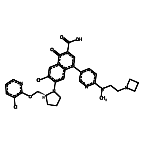 CN(CCN1CCC1)c1ccc(-n2cc(C(=O)O)c(=O)c3cc(Cl)c(N4CCC[C@@H]4COc4ncccc4Cl)cc32)cn1